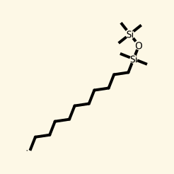 [CH2]CCCCCCCCCC[Si](C)(C)O[Si](C)(C)C